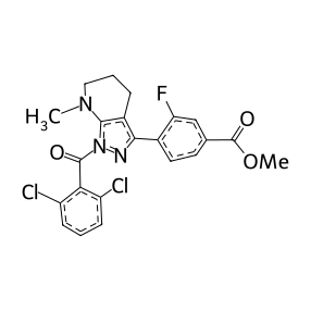 COC(=O)c1ccc(-c2nn(C(=O)c3c(Cl)cccc3Cl)c3c2CCCN3C)c(F)c1